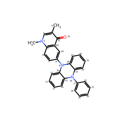 Cc1cn(C)c2ccc(N3c4ccccc4N(c4ccccc4)c4ccccc43)cc2c1=O